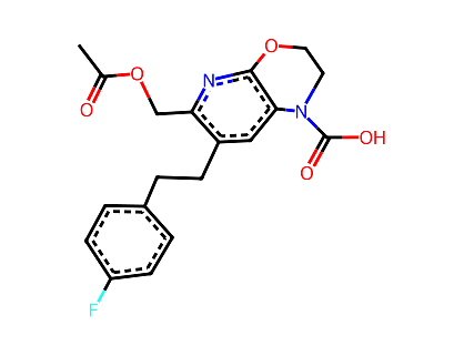 CC(=O)OCc1nc2c(cc1CCc1ccc(F)cc1)N(C(=O)O)CCO2